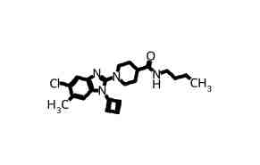 CCCCNC(=O)C1CCN(c2nc3cc(Cl)c(C)cc3n2C2=CC=C2)CC1